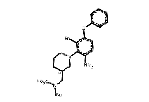 CC(C)(C)N(C[C@H]1CCCN(c2c([N+](=O)[O-])ccc(Oc3ccccc3)c2Br)C1)C(=O)O